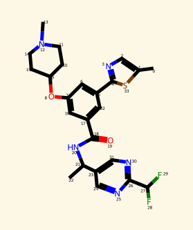 Cc1cnc(-c2cc(OC3CCN(C)CC3)cc(C(=O)NC(C)c3cnc(C(F)F)nc3)c2)s1